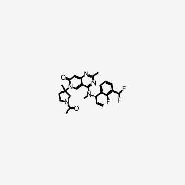 C=C[C@H](c1cccc(C(F)F)c1F)N(C)c1nc(C)nc2cc(=O)n(C3(C)CCN(C(C)=O)C3)cc12